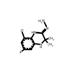 CC1(C)Nc2cc(F)cc(Cl)c2NC1=NN